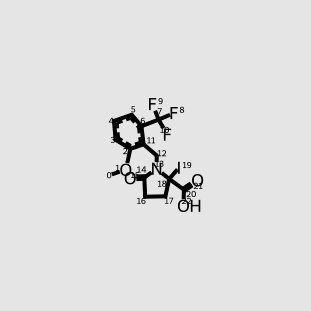 COc1cccc(C(F)(F)F)c1CN1C(=O)CCC1(I)C(=O)O